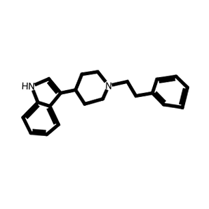 c1ccc(CCN2CCC(c3c[nH]c4ccccc34)CC2)cc1